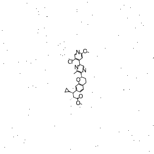 COC(=O)[C@H](C)[C@H](c1ccc2c(c1)O[C@@H](c1ncc(-c3cc(OC)ncc3Cl)nc1C)CC2)C1CC1